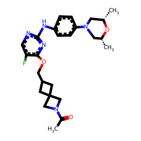 CC(=O)N1CC2(CC(COc3nc(Nc4ccc(N5C[C@@H](C)O[C@@H](C)C5)cc4)ncc3F)C2)C1